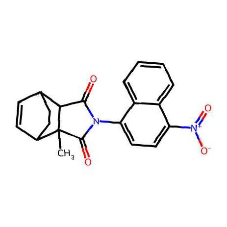 CC12C(=O)N(c3ccc([N+](=O)[O-])c4ccccc34)C(=O)C1C1C=CC2CC1